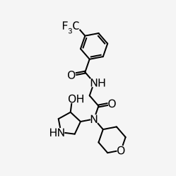 O=C(NCC(=O)N(C1CCOCC1)C1CNCC1O)c1cccc(C(F)(F)F)c1